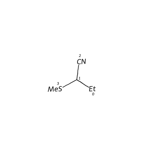 CCC(C#N)SC